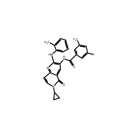 Cc1ccccc1Nc1nc2ccn(C3CC3)c(=O)c2cc1NC(=O)c1cc(F)cc(C(F)(F)F)c1